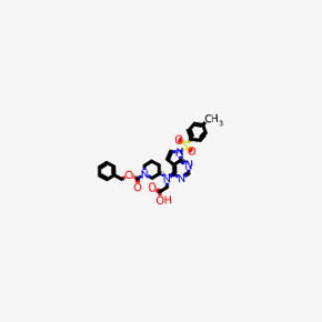 Cc1ccc(S(=O)(=O)n2ccc3c(N(CC(=O)O)[C@@H]4CCCN(C(=O)OCc5ccccc5)C4)ncnc32)cc1